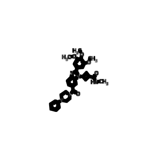 CNC(=O)C1CC(n2c(-c3cc(OC)c(OC)c(OC)c3)nc3ccc(C(=O)N4CCN(c5ccccc5)CC4)cc32)C1